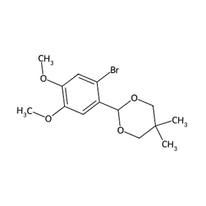 COc1cc(Br)c(C2OCC(C)(C)CO2)cc1OC